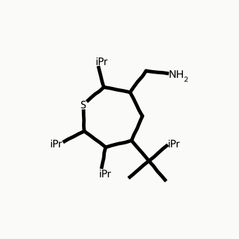 CC(C)C1SC(C(C)C)C(C(C)C)C(C(C)(C)C(C)C)CC1CN